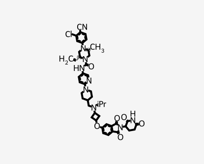 C=C[C@@H]1CN(c2ccc(C#N)c(Cl)c2)[C@@H](C)CN1C(=O)Nc1ccc(N2CCC(CN(C(C)C)C3CC(Oc4ccc5c(c4)C(=O)N(C4CCC(=O)NC4=O)C5=O)C3)CC2)nc1